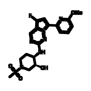 COc1cccc(-c2cc(F)c3cnc(N[C@@H]4CCN(S(C)(=O)=O)C[C@H]4O)nn23)n1